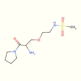 CS(=O)(=O)NCCOCC(N)C(=O)N1CCCC1